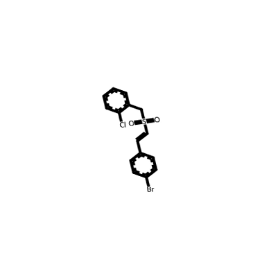 O=S(=O)(C=Cc1ccc(Br)cc1)Cc1ccccc1Cl